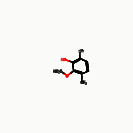 CCCc1ccc(C)c(OC(=O)O)c1O